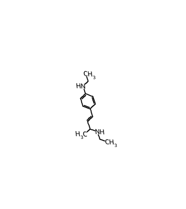 CCNc1ccc(C=CC(C)NCC)cc1